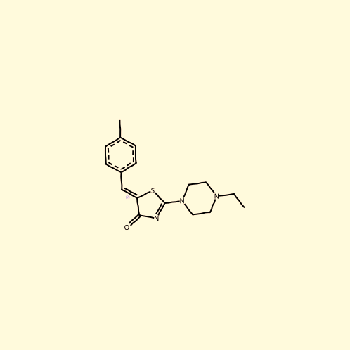 CCN1CCN(C2=NC(=O)/C(=C/c3ccc(C)cc3)S2)CC1